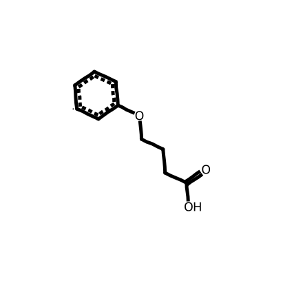 O=C(O)CCCOc1c[c]ccc1